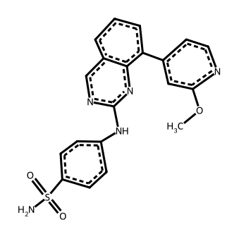 COc1cc(-c2cccc3cnc(Nc4ccc(S(N)(=O)=O)cc4)nc23)ccn1